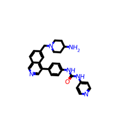 NC1CCN(Cc2ccc3cncc(-c4ccc(NC(=O)Nc5ccncc5)cc4)c3c2)CC1